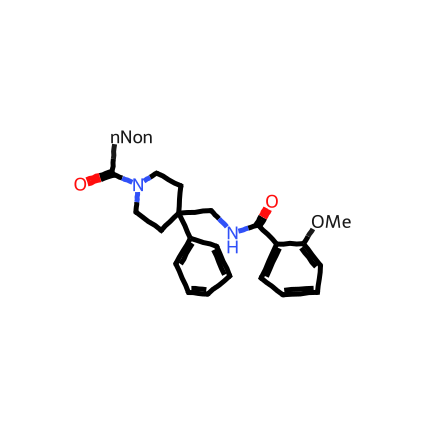 CCCCCCCCCC(=O)N1CCC(CNC(=O)c2ccccc2OC)(c2ccccc2)CC1